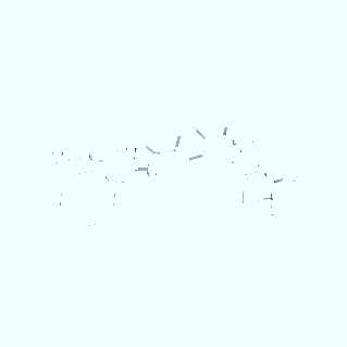 COC1Cn2cc(-c3ccc(C(=O)N4CCN(C(=O)C5(O)CC5)CC4)cc3)nc2CC12CCCCCCCCC2